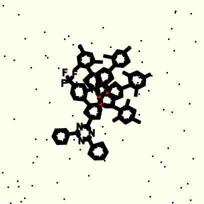 Cc1ccc(-c2ccc3c(c2)c2cc(-c4c(C)cc(C)cc4C)ccc2n3-c2cc(C(F)(F)F)ccc2-c2cc(-c3nc(-c4ccccc4)nc(-c4ccccc4)n3)ccc2-n2c3ccc(-c4c(C)cc(C)cc4C)cc3c3cc(-c4c(C)cc(C)cc4C)ccc32)c(C)c1